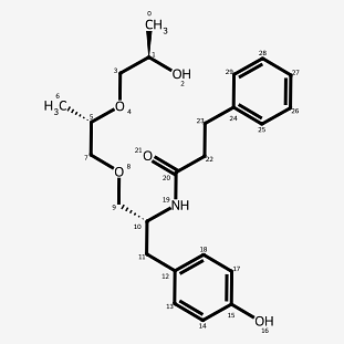 C[C@@H](O)CO[C@@H](C)COC[C@@H](Cc1ccc(O)cc1)NC(=O)CCc1ccccc1